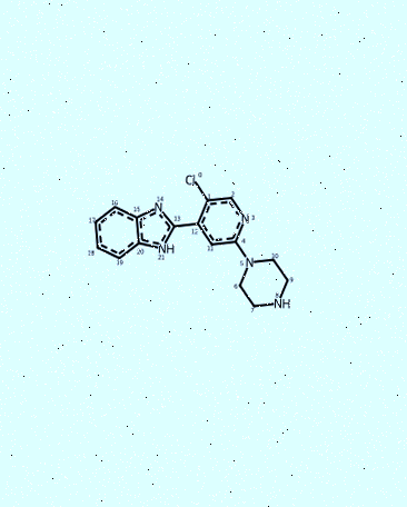 Clc1cnc(N2CCNCC2)cc1-c1nc2ccccc2[nH]1